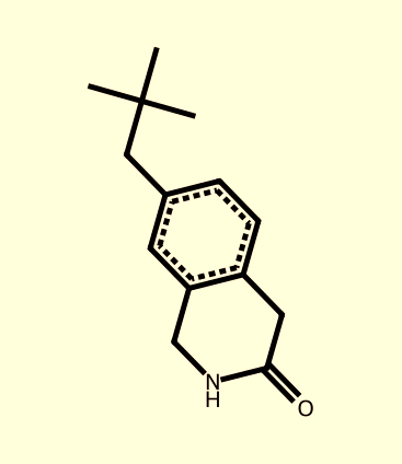 CC(C)(C)Cc1ccc2c(c1)CNC(=O)C2